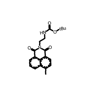 Cc1ccc2c3c(cccc13)C(=O)N(CCNC(=O)OC(C)(C)C)C2=O